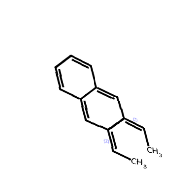 C/C=c1/cc2ccccc2c/c1=C/C